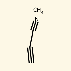 C.C#CC#N